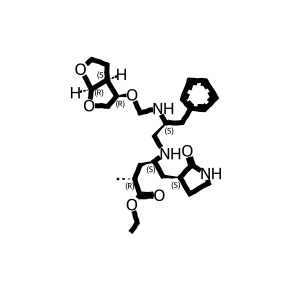 CCOC(=O)[C@H](C)C[C@H](C[C@@H]1CCNC1=O)NC[C@H](Cc1ccccc1)NCO[C@H]1CO[C@H]2OCC[C@H]21